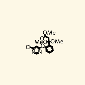 COC(=O)CC(OC)(OC)c1ccccc1Oc1cc(Cl)ncn1